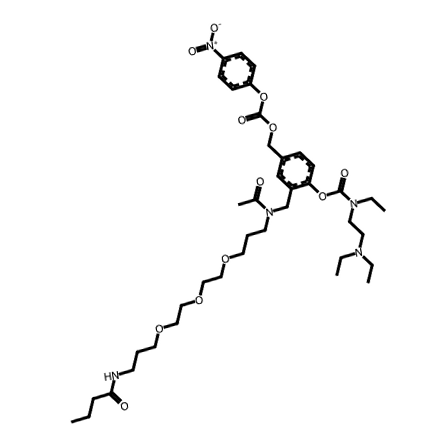 CCCC(=O)NCCCOCCOCCOCCCN(Cc1cc(COC(=O)Oc2ccc([N+](=O)[O-])cc2)ccc1OC(=O)N(CC)CCN(CC)CC)C(C)=O